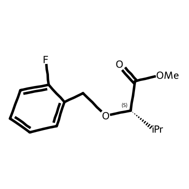 COC(=O)[C@@H](OCc1ccccc1F)C(C)C